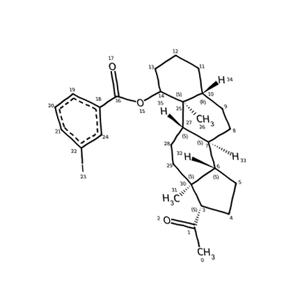 CC(=O)[C@H]1CC[C@H]2[C@@H]3CC[C@H]4CCCC(OC(=O)c5cccc(I)c5)[C@]4(C)[C@H]3CC[C@]12C